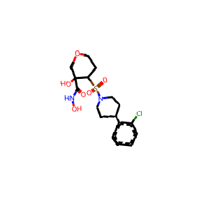 O=C(NO)C1(O)COCCC1S(=O)(=O)N1CCC(c2ccccc2Cl)CC1